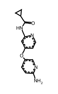 Nc1ccc(Oc2ccnc(NC(=O)C3CC3)c2)cn1